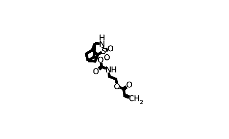 C=CC(=O)OCCNC(=O)OC1C2CC3C1NS(=O)(=O)C3C2